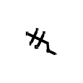 [CH2]OCC(F)(Cl)C(F)(F)F